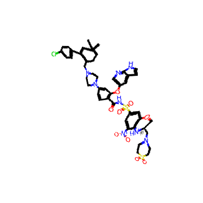 CC1(C)CCC(CN2CCN(c3ccc(C(=O)NS(=O)(=O)c4cc5c(c([N+](=O)[O-])c4)N[C@H](CN4CCS(=O)(=O)CC4)CO5)c(Oc4cnc5[nH]ccc5c4)c3)CC2)=C(c2ccc(Cl)cc2)C1